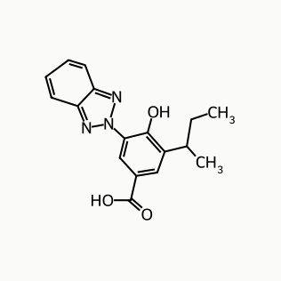 CCC(C)c1cc(C(=O)O)cc(-n2nc3ccccc3n2)c1O